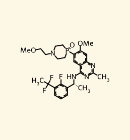 COCCN1CCP(=O)(c2cc3c(N[C@H](C)c4cccc(C(C)(F)F)c4F)nc(C)nc3cc2OC)CC1